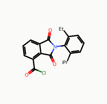 CCc1cccc(C(C)C)c1N1C(=O)c2cccc(C(=O)Cl)c2C1=O